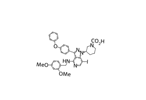 COc1ccc(CNc2ncc(I)c3c2c(-c2ccc(Oc4ccccc4)cc2)nn3[C@@H]2CCCN(C(=O)O)C2)c(OC)c1